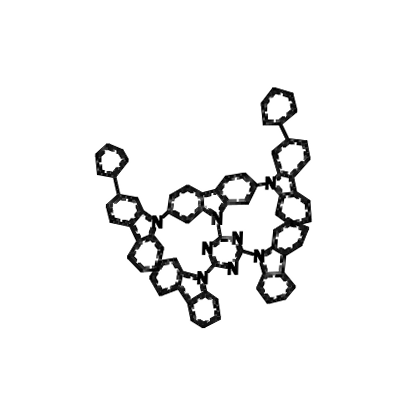 c1ccc(-c2ccc3c4ccccc4n(-c4ccc5c6ccc(-n7c8ccccc8c8ccc(-c9ccccc9)cc87)cc6n(-c6nc(-n7c8ccccc8c8ccccc87)nc(-n7c8ccccc8c8ccccc87)n6)c5c4)c3c2)cc1